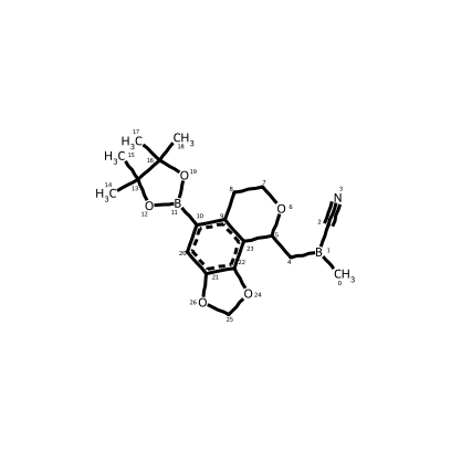 CB(C#N)CC1OCCc2c(B3OC(C)(C)C(C)(C)O3)cc3c(c21)OCO3